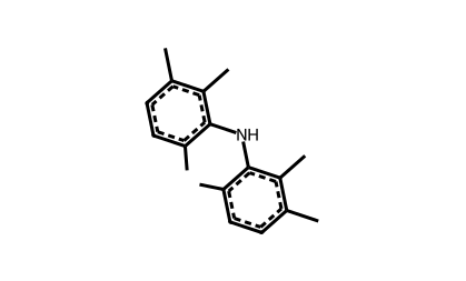 Cc1ccc(C)c(Nc2c(C)ccc(C)c2C)c1C